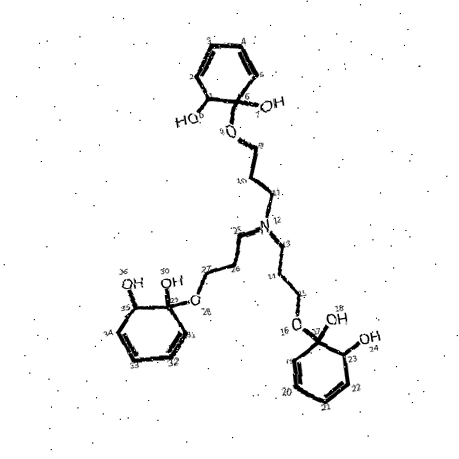 OC1C=CC=CC1(O)OCCCN(CCCOC1(O)C=CC=CC1O)CCCOC1(O)C=CC=CC1O